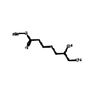 CCCCOC(=O)CCSCC(O)CO